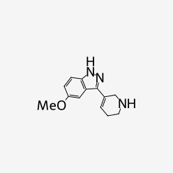 COc1ccc2[nH]nc(C3=CCCNC3)c2c1